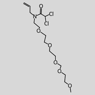 C=CCN(CCOCCOCCOCOCCOC)C(=O)C(Cl)Cl